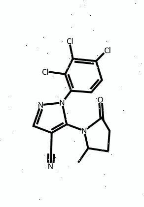 CC1CCC(=O)N1c1c(C#N)cnn1-c1ccc(Cl)c(Cl)c1Cl